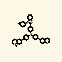 C1=CC2C=C(c3ccc(N(c4ccc(-c5ccc6ncccc6c5)cc4)c4ccc(-c5nc6ccccc6n5C5=CC6=CC6C=C5)cc4)cc3)C=C[C@@H]2N=C1